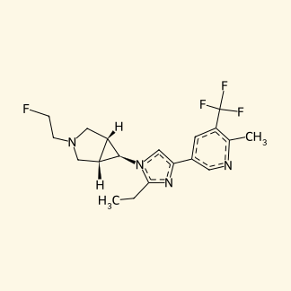 CCc1nc(-c2cnc(C)c(C(F)(F)F)c2)cn1[C@H]1[C@@H]2CN(CCF)C[C@@H]21